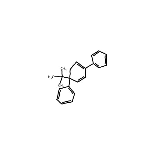 CC(C)(C)C1(c2ccccc2)C=CC(c2ccccc2)=CC1